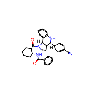 N#CC1=CCC([C@@H]2Nc3ccccc3[C@H]3[C@@H]2CCN3C(=O)[C@H]2CCCC[C@H]2NC(=O)c2ccccc2)C=C1